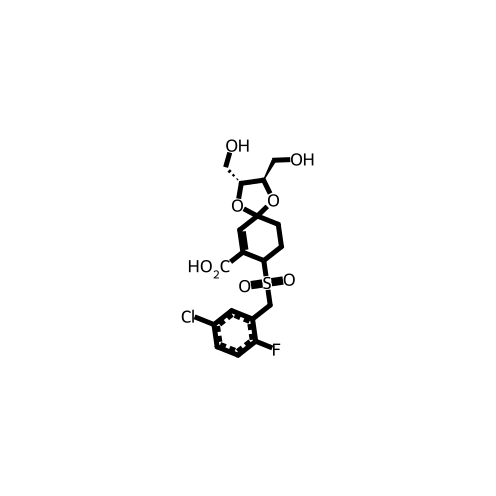 O=C(O)C1=CC2(CCC1S(=O)(=O)Cc1cc(Cl)ccc1F)O[C@H](CO)[C@@H](CO)O2